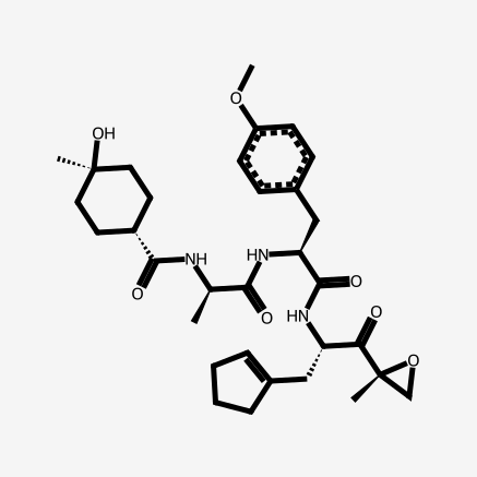 COc1ccc(C[C@H](NC(=O)[C@@H](C)NC(=O)[C@H]2CC[C@](C)(O)CC2)C(=O)N[C@@H](CC2=CCCC2)C(=O)[C@@]2(C)CO2)cc1